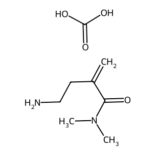 C=C(CCN)C(=O)N(C)C.O=C(O)O